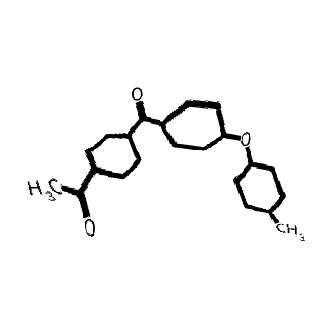 CC(=O)C1CCC(C(=O)C2CCC(OC3CCC(C)CC3)CC2)CC1